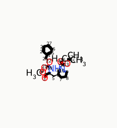 COC(=O)[C@H](C[C@@H]1CCCN(C(=O)OC(C)(C)C)C1)NC(=O)OCc1ccccc1